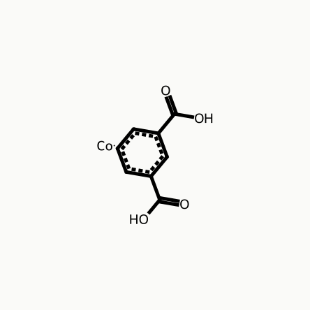 O=C(O)c1cccc(C(=O)O)c1.[Co]